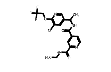 CCNC(=O)c1cc(C(=O)NC(C)c2cnc(OCC(F)(F)F)c(Cl)c2)ccn1